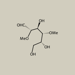 CO[C@@H]([C@H](O)[C@@H](C=O)OC)[C@H](O)CO